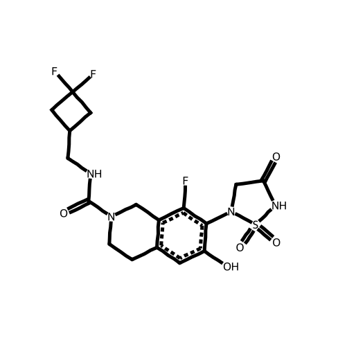 O=C1CN(c2c(O)cc3c(c2F)CN(C(=O)NCC2CC(F)(F)C2)CC3)S(=O)(=O)N1